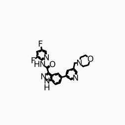 O=C(Nc1ncc(F)cc1F)c1n[nH]c2ccc(-c3cncc(CN4CCOCC4)c3)cc12